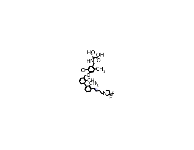 Cc1cc(OCc2cccc(-c3cccc(/C=C/CCN4CCC(F)(F)C4)c3C)c2C)c(Cl)cc1CN[C@H](CO)C(=O)O